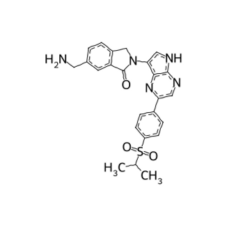 CC(C)S(=O)(=O)c1ccc(-c2cnc3[nH]cc(N4Cc5ccc(CN)cc5C4=O)c3n2)cc1